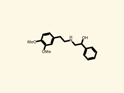 COc1ccc(CCNCC(O)c2ccccc2)cc1OC